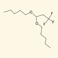 CCCCCOC(CC(F)(F)F)OCCCCC